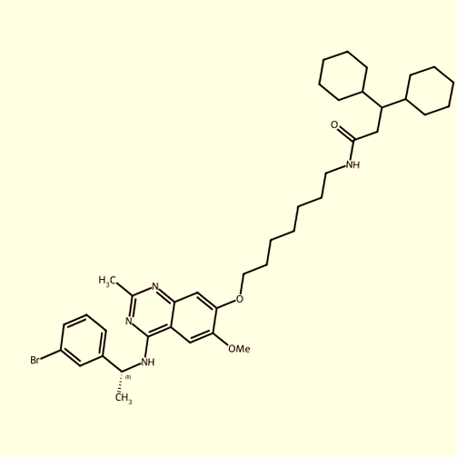 COc1cc2c(N[C@H](C)c3cccc(Br)c3)nc(C)nc2cc1OCCCCCCCNC(=O)CC(C1CCCCC1)C1CCCCC1